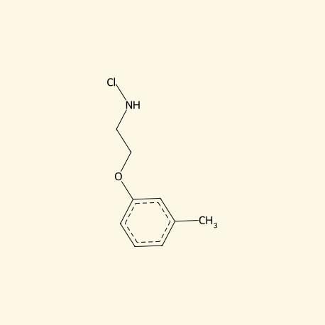 Cc1cccc(OCCNCl)c1